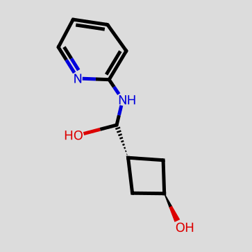 OC(Nc1ccccn1)[C@H]1C[C@H](O)C1